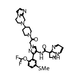 CSc1ccc(OC(F)F)c(-c2nn(CC(=O)N3CCC(N4CCn5ccnc5C4)CC3)cc2NC(=O)C2=C3N=CC=CN3NC2)c1